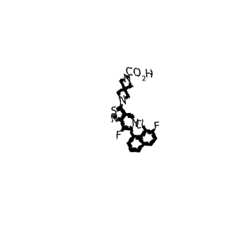 O=C(O)N1CC2(C1)CN(c1snc3c(F)c(-c4cccc5ccc(F)c(Cl)c45)ncc13)C2